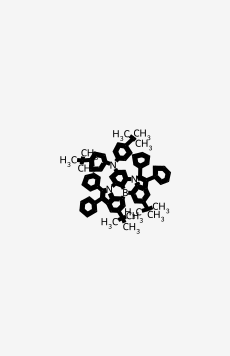 CC(C)(C)c1ccc(N(c2ccc(C(C)(C)C)cc2)c2cc3c4c(c2)-n2c(-c5ccccc5)c(-c5ccccc5)c5cc(C(C)(C)C)cc(c52)B4c2cc(C(C)(C)C)cc4c(-c5ccccc5)c(-c5ccccc5)n-3c24)cc1